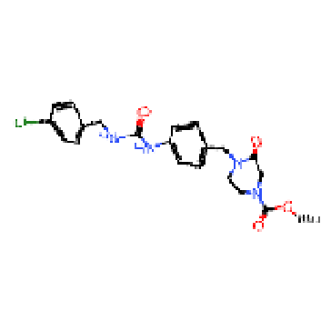 CC(C)(C)OC(=O)N1CCN(Cc2ccc(NC(=O)NCc3ccc(Cl)cc3)cc2)C(=O)C1